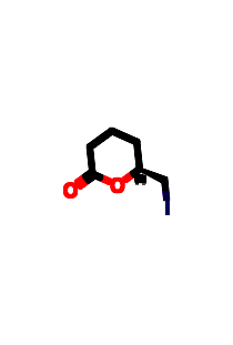 O=C1CCC[C@@H](CI)O1